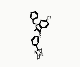 Cc1c(Sc2cccc(-c3nn[nH]n3)c2)c2ccc(Cl)cc2n1Cc1ccccc1